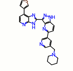 c1cc(-c2ccsc2)c2nc(-c3n[nH]c4ccc(-c5cncc(CN6CCCCC6)c5)nc34)[nH]c2n1